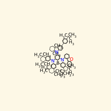 CC(C)(C)c1ccc(-c2ccc3c(c2)C2(C)CCCCC2(C)N3c2cc3c4c(c2)N(c2cccc5oc6ccccc6c25)c2cc5c(cc2B4c2cc4c(cc2N3c2ccc3c(c2)C(C)(C)CCC3(C)C)C(C)(C)CCC4(C)C)C(C)(C)CC5(C)C)cc1